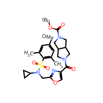 COc1cc(C)c(S(=O)(=O)N(Cc2nc(C(=O)N3CC4CN(C(=O)OC(C)(C)C)CC4C3)co2)C2CC2)c(C)c1